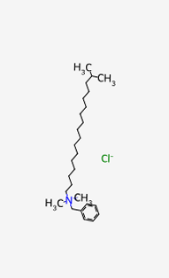 CC(C)CCCCCCCCCCCCCCC[N+](C)(C)Cc1ccccc1.[Cl-]